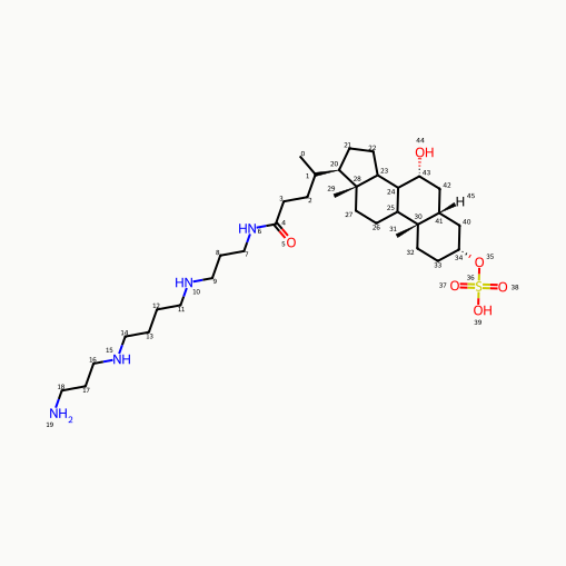 CC(CCC(=O)NCCCNCCCCNCCCN)[C@H]1CCC2C3C(CC[C@@]21C)[C@@]1(C)CC[C@@H](OS(=O)(=O)O)C[C@H]1C[C@H]3O